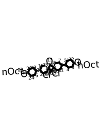 CCCCCCCCOC1CCC(C2CC[C@]3(CC2)C(=O)[C@@]2(CC[C@@H](C4CCC(OCCCCCCCC)CC4)CC2)C3(Cl)Cl)CC1